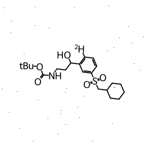 [2H]c1ccc(S(=O)(=O)CC2CCCCC2)cc1C(O)CCNC(=O)OC(C)(C)C